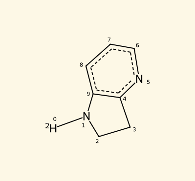 [2H]N1CCc2ncccc21